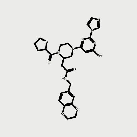 CC(C)c1cc(N2CCN(C(=O)C3CCCO3)C(CC(=O)NCc3ccc4c(c3)OCCO4)C2)nc(-n2ccnc2)n1